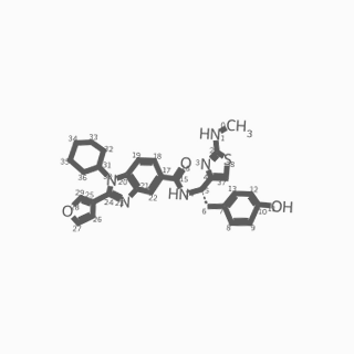 CNc1nc([C@H](Cc2ccc(O)cc2)NC(=O)c2ccc3c(c2)nc(-c2ccoc2)n3C2CCCCC2)cs1